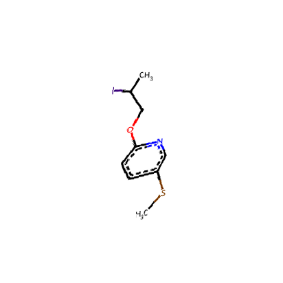 CSc1ccc(OCC(C)I)nc1